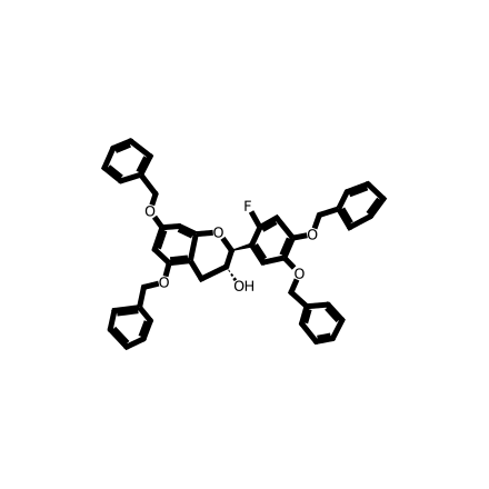 O[C@@H]1Cc2c(OCc3ccccc3)cc(OCc3ccccc3)cc2O[C@H]1c1cc(OCc2ccccc2)c(OCc2ccccc2)cc1F